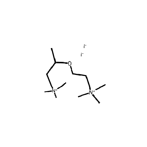 CC(C[N+](C)(C)C)OCC[N+](C)(C)C.[I-].[I-]